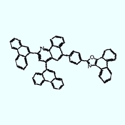 c1ccc2c(c1)cc(-c1cc(-c3cc4ccccc4c4ccccc34)c3cc(-c4ccc(-c5nc6c7ccccc7c7ccccc7c6o5)cc4)c4ccccc4c3n1)c1ccccc12